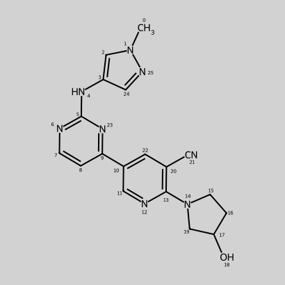 Cn1cc(Nc2nccc(-c3cnc(N4CCC(O)C4)c(C#N)c3)n2)cn1